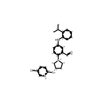 CC(C)c1ccccc1Nc1ccc(N2CC[C@H](Sc3ccc(Cl)cn3)C2)c(C=O)c1